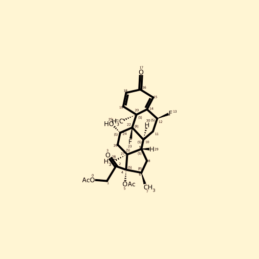 CC(=O)OCC(=O)[C@]1(OC(C)=O)[C@H](C)C[C@H]2[C@@H]3C[C@H](F)C4=CC(=O)C=C[C@]4(C)[C@@]3(F)[C@@H](O)C[C@@]21C